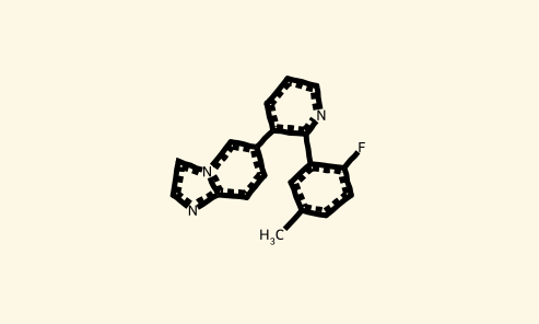 Cc1ccc(F)c(-c2ncccc2-c2ccc3nccn3c2)c1